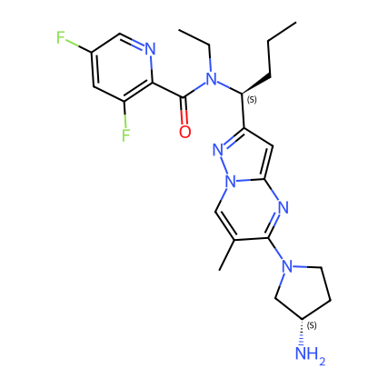 CCC[C@@H](c1cc2nc(N3CC[C@H](N)C3)c(C)cn2n1)N(CC)C(=O)c1ncc(F)cc1F